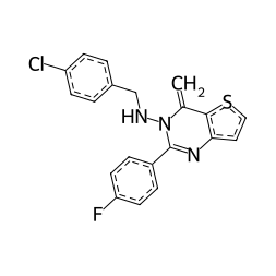 C=C1c2sccc2N=C(c2ccc(F)cc2)N1NCc1ccc(Cl)cc1